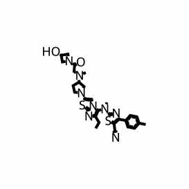 CCc1nc2sc(N3CCC(N(C)CC(=O)N4CC(O)C4)C3)cn2c1N(C)c1nc(-c2ccc(C)cc2)c(C#N)s1